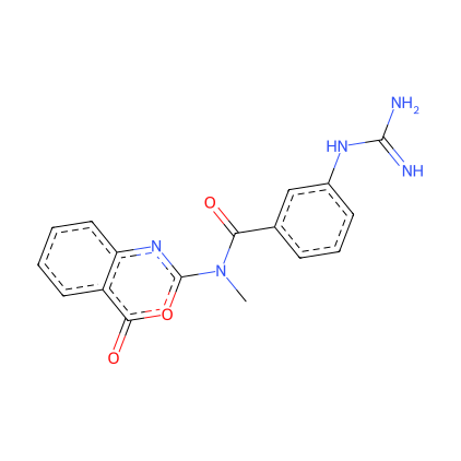 CN(C(=O)c1cccc(NC(=N)N)c1)c1nc2ccccc2c(=O)o1